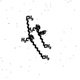 CCCCCCCCCCCC[n+]1ccn(CCCCCCCCCC)c1C.CCCCCCCCCCn1ccnc1C.Cl.[Cl-]